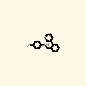 Brc1ccc(NCc2ccccc2-c2cccnc2)cc1